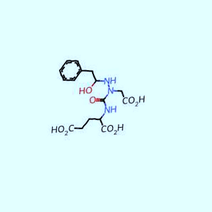 O=C(O)CCC(NC(=O)N(CC(=O)O)NC(O)Cc1ccccc1)C(=O)O